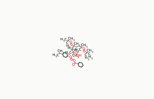 CC(C)(C)OO.CC(C)(C)OOC(C)(C)CCC(C)(C)OOC(C)(C)C.CC(C)c1ccc(OOOC(=O)c2ccccc2)cc1